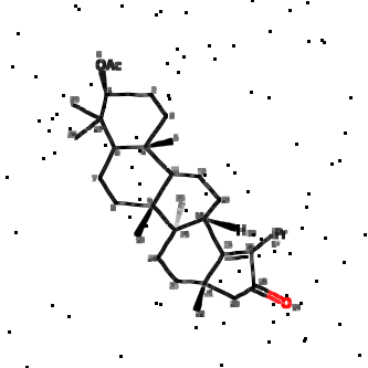 CC(=O)O[C@H]1CC[C@@]2(C)C(CC[C@]3(C)C2CC[C@@H]2C4=C(C(C)C)C(=O)C[C@]4(C)CC[C@]23C)C1(C)C